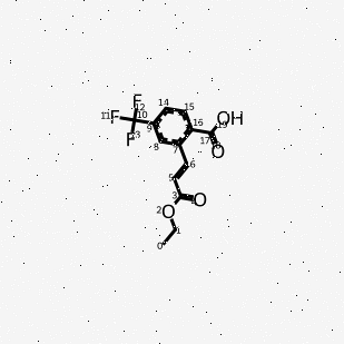 CCOC(=O)C=Cc1cc(C(F)(F)F)ccc1C(=O)O